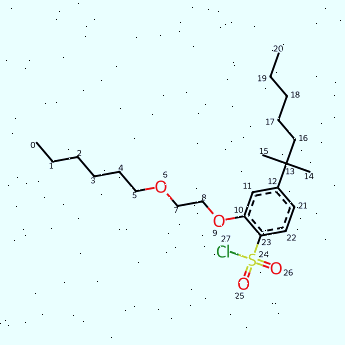 CCCCCCOCCOc1cc(C(C)(C)CCCCC)ccc1S(=O)(=O)Cl